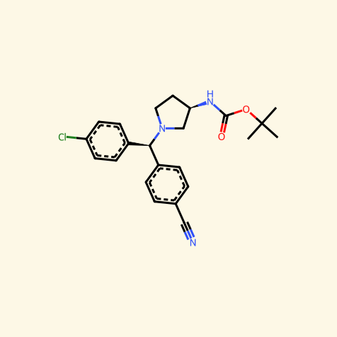 CC(C)(C)OC(=O)N[C@@H]1CCN([C@H](c2ccc(Cl)cc2)c2ccc(C#N)cc2)C1